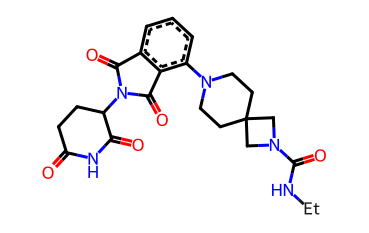 CCNC(=O)N1CC2(CCN(c3cccc4c3C(=O)N(C3CCC(=O)NC3=O)C4=O)CC2)C1